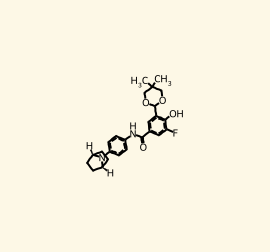 CC1(C)COC(c2cc(C(=O)Nc3ccc(N4[C@H]5CC[C@@H]4CC5)cc3)cc(F)c2O)OC1